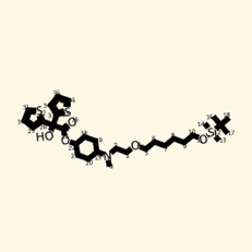 CN(CCOCCCCCCO[Si](C)(C)C(C)(C)C)C1CCC(OC(=O)C(O)(c2cccs2)c2cccs2)CC1